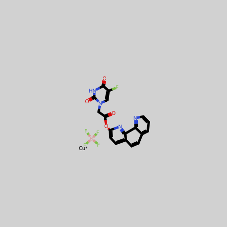 F[B-](F)(F)F.O=C(Cn1cc(F)c(=O)[nH]c1=O)Oc1ccc2ccc3cccnc3c2n1.[Cu+]